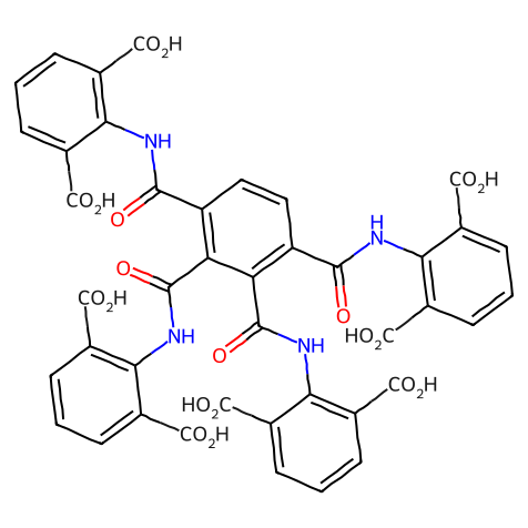 O=C(O)c1cccc(C(=O)O)c1NC(=O)c1ccc(C(=O)Nc2c(C(=O)O)cccc2C(=O)O)c(C(=O)Nc2c(C(=O)O)cccc2C(=O)O)c1C(=O)Nc1c(C(=O)O)cccc1C(=O)O